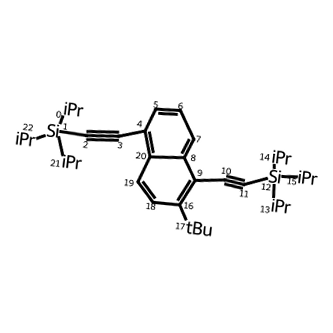 CC(C)[Si](C#Cc1cccc2c(C#C[Si](C(C)C)(C(C)C)C(C)C)c(C(C)(C)C)ccc12)(C(C)C)C(C)C